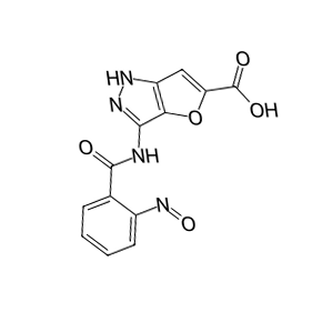 O=Nc1ccccc1C(=O)Nc1n[nH]c2cc(C(=O)O)oc12